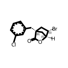 O=C1O[C@H]2C[C@]1(Cc1cccc(Cl)c1)C[C@@H]2Br